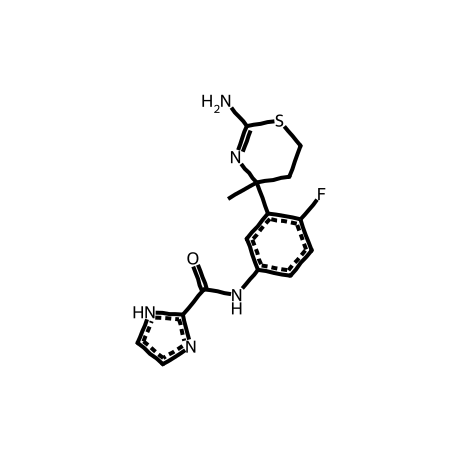 CC1(c2cc(NC(=O)c3ncc[nH]3)ccc2F)CCSC(N)=N1